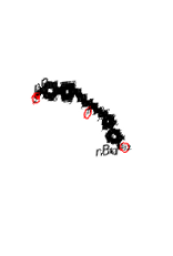 CCCCC(=O)C1CCC(c2ccc(CCCCCC(=O)CCCCCc3ccc([C@H]4CC[C@H](C(=O)CCCC)CC4)cc3)cc2)CC1